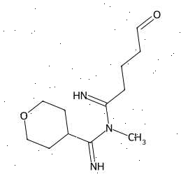 CN(C(=N)CCCC=O)C(=N)C1CCOCC1